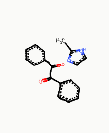 Cc1ncc[nH]1.O=C(C(=O)c1ccccc1)c1ccccc1